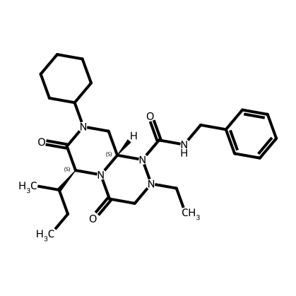 CCC(C)[C@H]1C(=O)N(C2CCCCC2)C[C@H]2N1C(=O)CN(CC)N2C(=O)NCc1ccccc1